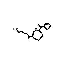 CCCCCC(=O)c1cccccc(C(=O)c2ccccc2)[nH]c1